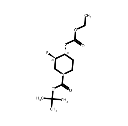 CCOC(=O)C[C@@H]1CCN(C(=O)OC(C)(C)C)C[C@H]1F